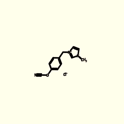 Cn1cc[n+](Cc2ccc(OC#N)cc2)c1.[Cl-]